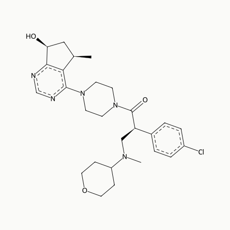 C[C@@H]1C[C@H](O)c2ncnc(N3CCN(C(=O)[C@H](CN(C)C4CCOCC4)c4ccc(Cl)cc4)CC3)c21